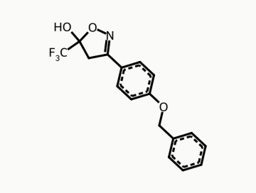 OC1(C(F)(F)F)CC(c2ccc(OCc3ccccc3)cc2)=NO1